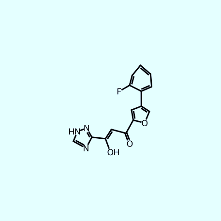 O=C(C=C(O)c1nc[nH]n1)c1cc(-c2ccccc2F)co1